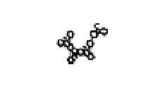 c1ccc(-n2c3ccccc3c3cc4c(cc32)c2cc3c(cc2n4-c2ccccc2)c2ccccc2n3-c2ccc(-c3ccc4sc5ccccc5c4c3)cc2)cc1